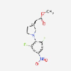 COC(=O)C[C@@H]1CCN(c2c(F)cc([N+](=O)[O-])cc2F)C1